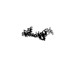 CC(C)(C)OC(=O)N1CCCCC1C(=O)N1CCC(CC(=O)Nc2cc(C(F)(F)F)cc(C(F)(F)F)c2)CC1